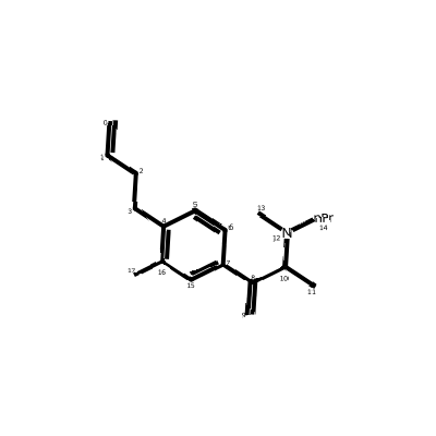 C=CCCc1ccc(C(=C)C(C)N(C)CCC)cc1C